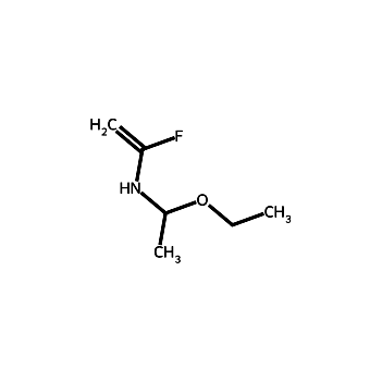 C=C(F)NC(C)OCC